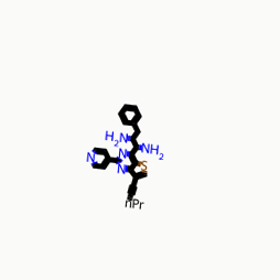 CCCC#Cc1csc2c(C(N)C(N)Cc3ccccc3)nc(-c3ccncc3)nc12